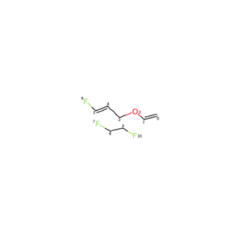 C=COCC=CF.FCCF